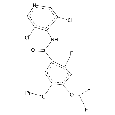 CC(C)Oc1cc(C(=O)Nc2c(Cl)cncc2Cl)c(F)cc1OC(F)F